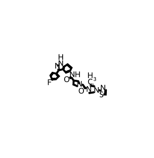 C[C@@H]1CN(c2nccs2)CCN1C(=O)CN1CCC(C(=O)Nc2ccc3[nH]nc(-c4ccc(F)cc4)c3c2)C1